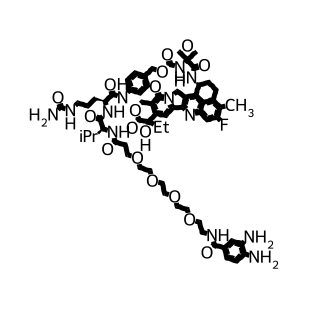 CCC1(O)C(=O)OCc2c1cc1n(c2=O)Cc2c-1nc1cc(F)c(C)c3c1c2[C@H](NC(=O)C1(NC(=O)OCc2ccc(NC(=O)[C@H](CCCNC(N)=O)NC(=O)[C@@H](NC(=O)CCOCCOCCOCCOCCNC(=O)c4ccc(N)c(N)c4)C(C)C)cc2)COC1)CC3